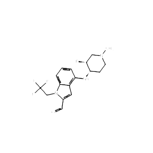 CN1CC[C@@H](Nc2cccc3c2cc(C=O)n3CC(F)(F)F)[C@@H](F)C1